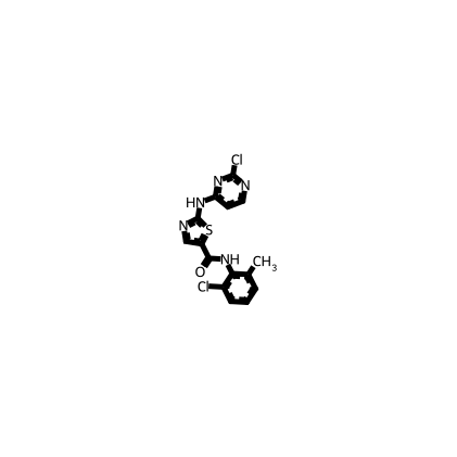 Cc1cccc(Cl)c1NC(=O)c1cnc(Nc2ccnc(Cl)n2)s1